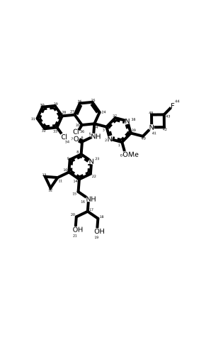 COc1nc(C2(NC(=O)c3cc(C4CC4)c(CNC(CO)CO)cn3)C=CC=C(c3ccccc3Cl)C2Cl)cnc1CN1CC(F)C1